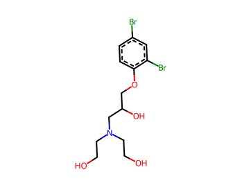 OCCN(CCO)CC(O)COc1ccc(Br)cc1Br